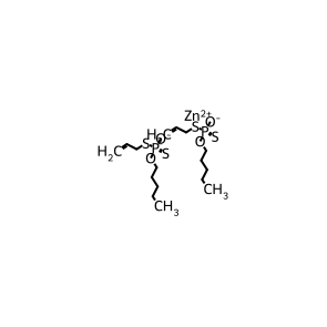 C=CCSP([O-])(=S)OCCCCC.C=CCSP([O-])(=S)OCCCCC.[Zn+2]